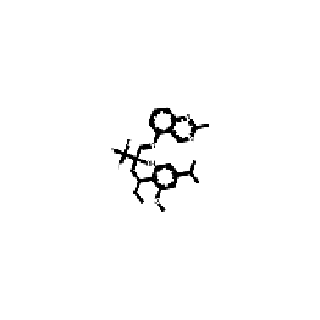 CCC(CC(O)(C=Nc1cccc2nc(C)ncc12)C(F)(F)F)c1ccc(C(C)C)cc1OC